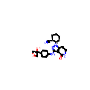 N#CC1CCCC[C@@H]1n1nc(Nc2ccc(C3(O)COC3)cc2)c2c(=O)[nH]ccc21